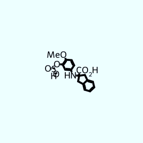 COc1ccc(NC2(C(=O)O)Cc3ccccc3C2)cc1O[SH](=O)=O